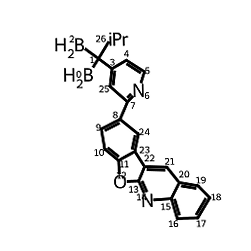 BC(B)(c1ccnc(-c2ccc3oc4nc5ccccc5cc4c3c2)c1)C(C)C